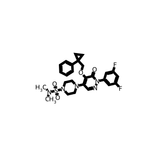 CN(C)S(=O)(=O)N1CCN(c2cnn(-c3cc(F)cc(F)c3)c(=O)c2OCC2(c3ccccc3)CC2)CC1